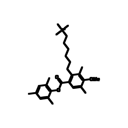 COc1c(C)cc(C(=O)Oc2c(C)cc(C)cc2C)c(CCCCCC[N+](C)(C)C)c1C